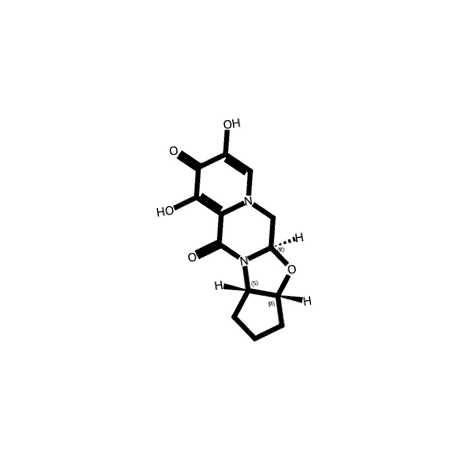 O=C1c2c(O)c(=O)c(O)cn2C[C@H]2O[C@@H]3CCC[C@@H]3N12